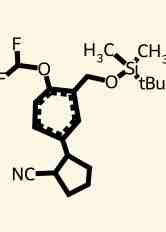 CC(C)(C)[Si](C)(C)OCc1cc(C2CCCC2C#N)ccc1OC(F)F